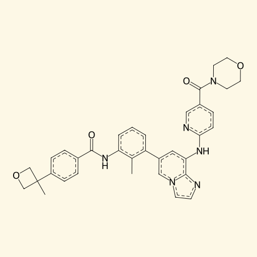 Cc1c(NC(=O)c2ccc(C3(C)COC3)cc2)cccc1-c1cc(Nc2ccc(C(=O)N3CCOCC3)cn2)c2nccn2c1